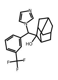 OC1(C(c2cccc(C(F)(F)F)c2)n2ccnc2)C2CC3CC(C2)CC1C3